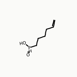 C=CCCCC[PH](=O)O